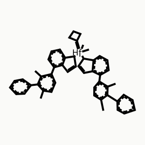 Cc1ccc(-c2cccc3c2C=C[CH]3[Hf]([CH3])([CH3])(=[C]2CCC2)[CH]2C=Cc3c(-c4ccc(C)c(-c5ccccc5)c4C)cccc32)c(C)c1-c1ccccc1